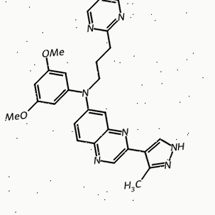 COc1cc(OC)cc(N(CCCc2ncccn2)c2ccc3ncc(-c4c[nH]nc4C)nc3c2)c1